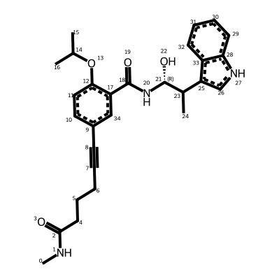 CNC(=O)CCCC#Cc1ccc(OC(C)C)c(C(=O)N[C@H](O)C(C)c2c[nH]c3ccccc23)c1